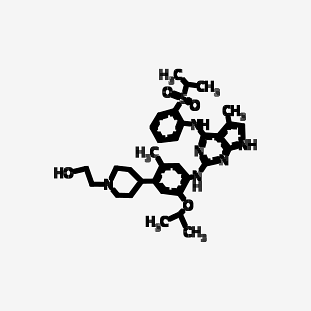 Cc1cc(Nc2nc(Nc3ccccc3S(=O)(=O)C(C)C)c3c(C)c[nH]c3n2)c(OC(C)C)cc1C1CCN(CCO)CC1